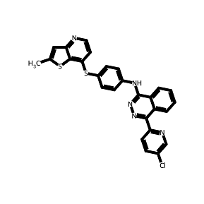 Cc1cc2nccc(Sc3ccc(Nc4nnc(-c5ccc(Cl)cn5)c5ccccc45)cc3)c2s1